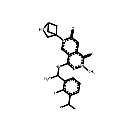 CC(Nc1nn(C)c(=O)c2cc(=O)n(C34CNC(C3)C4)cc12)c1cccc(C(F)F)c1F